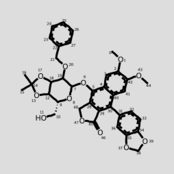 COc1cc2c(OC3O[C@H](CO)C4OC(C)(C)OC4C3OCc3ccccc3)c3c(c(-c4ccc5c(c4)OCO5)c2cc1OC)C(=O)OC3